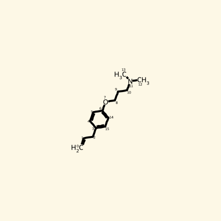 C=CCc1ccc(OCCCN(C)C)cc1